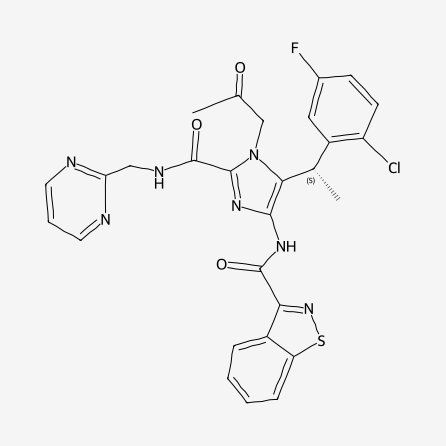 CC(=O)Cn1c(C(=O)NCc2ncccn2)nc(NC(=O)c2nsc3ccccc23)c1[C@@H](C)c1cc(F)ccc1Cl